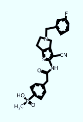 CP(=O)(O)c1ccc(CC(=O)Nc2sc3c(c2C#N)CN(Cc2cccc(F)c2)CC3)cc1